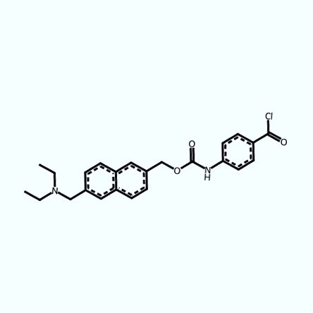 CCN(CC)Cc1ccc2cc(COC(=O)Nc3ccc(C(=O)Cl)cc3)ccc2c1